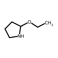 CCO[C]1CCCN1